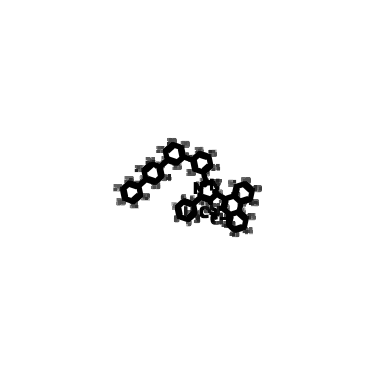 C[Si]1(C)c2c(-c3ccccc3)nc(-c3cccc(-c4cccc(-c5ccc(-c6ccccc6)cc5)c4)c3)nc2-c2c1c1ccccc1c1ccccc21